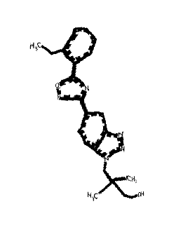 CCc1ccccc1-c1nc(-c2ccc3c(c2)nnn3CC(C)(C)CO)no1